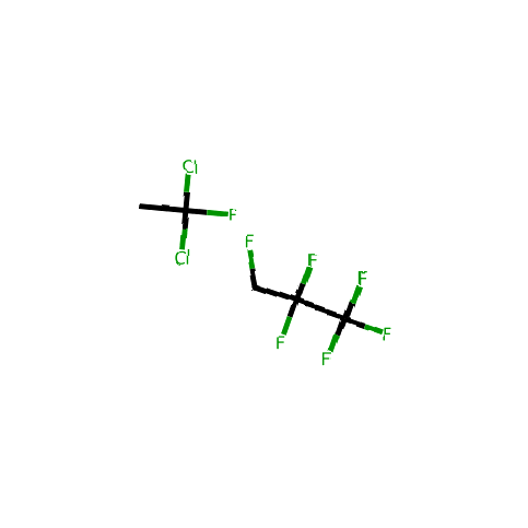 CC(F)(Cl)Cl.FCC(F)(F)C(F)(F)F